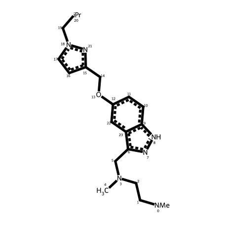 CNCCN(C)Cc1n[nH]c2ccc(OCc3ccn(CC(C)C)n3)cc12